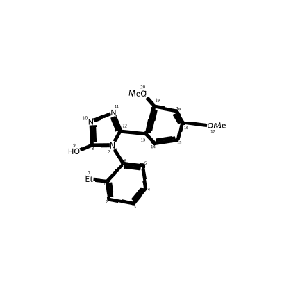 CCc1ccccc1-n1c(O)nnc1-c1ccc(OC)cc1OC